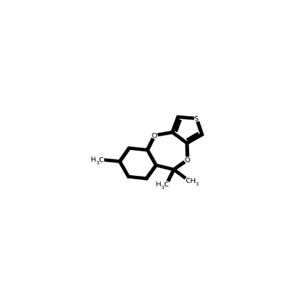 CC1CCC2C(C1)Oc1cscc1OC2(C)C